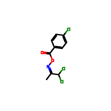 CC(=NOC(=O)c1ccc(Cl)cc1)C(Cl)Cl